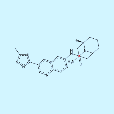 Cc1nnc(-c2cnc3cnc(NC(=O)N4C5CCC[C@H]4C[C@@H](N)C5)cc3c2)s1